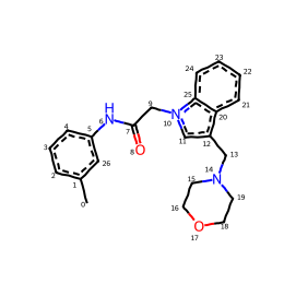 Cc1cccc(NC(=O)Cn2cc(CN3CCOCC3)c3ccccc32)c1